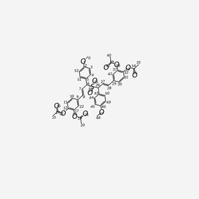 COc1ccc(C(C=Cc2ccc(OC(C)=O)c(OC(C)=O)c2)S(=O)(=O)C(C=Cc2ccc(OC(C)=O)c(OC(C)=O)c2)c2ccc(OC)cc2)cc1